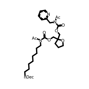 CCCCCCCCCCCCCCCCCCN(C(C)=O)C(=O)OCC1(COC(=O)N(Cc2ccccn2)C(C)=O)CCCO1